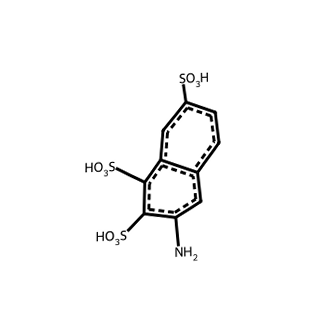 Nc1cc2ccc(S(=O)(=O)O)cc2c(S(=O)(=O)O)c1S(=O)(=O)O